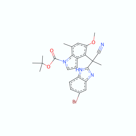 COc1cc(C)c2c(ccn2C(=O)OC(C)(C)C)c1C(C)(C#N)c1nc2cc(Br)ccc2[nH]1